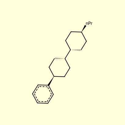 CCC[C@H]1CC[C@H]([C@H]2CC[C@H](c3ccccc3)CC2)CC1